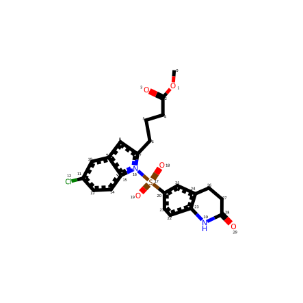 COC(=O)CCCc1cc2cc(Cl)ccc2n1S(=O)(=O)c1ccc2c(c1)CCC(=O)N2